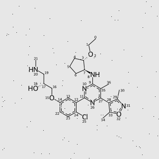 CCO[C@H]1CCC[C@@H]1Nc1nc(-c2cc(OC[C@H](O)CNC)ccc2Cl)nc(-c2c(C)noc2C)c1C